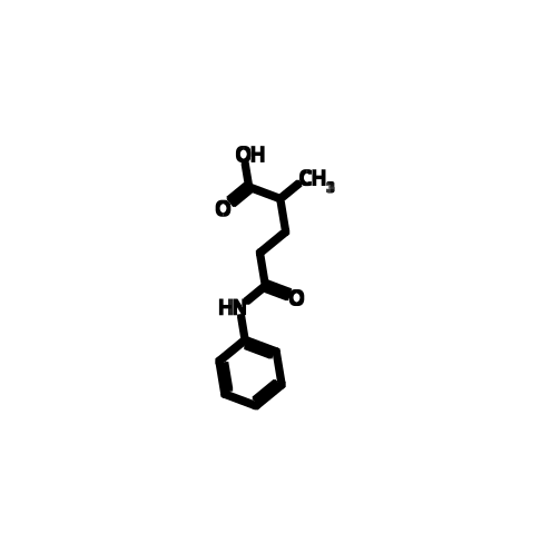 CC(CCC(=O)Nc1ccccc1)C(=O)O